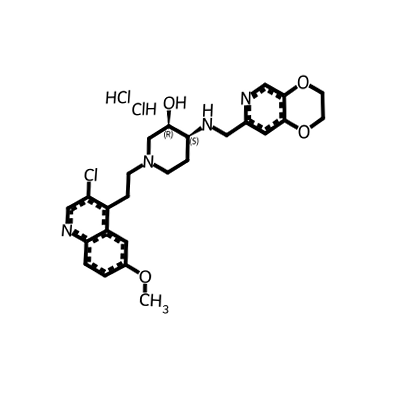 COc1ccc2ncc(Cl)c(CCN3CC[C@H](NCc4cc5c(cn4)OCCO5)[C@H](O)C3)c2c1.Cl.Cl